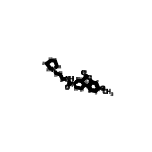 COc1ccc2c(c1)OC(=O)C1CN(C(=O)NCCCN3CCCCC3)CCC21